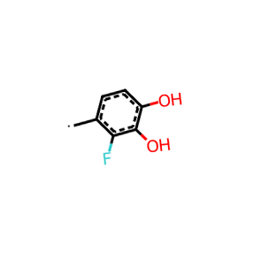 [CH2]c1ccc(O)c(O)c1F